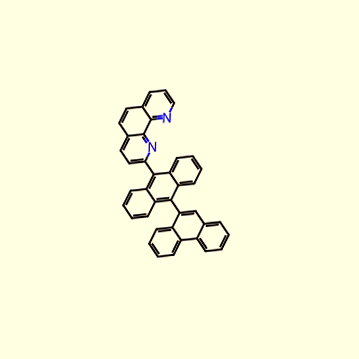 c1ccc2c(c1)cc(-c1c3ccccc3c(-c3ccc4ccc5cccnc5c4n3)c3ccccc13)c1ccccc12